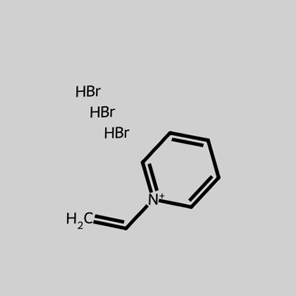 Br.Br.Br.C=C[n+]1ccccc1